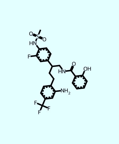 CS(=O)(=O)Nc1ccc(C(CCc2ccc(C(F)(F)F)cc2N)CNC(=O)c2ccccc2O)cc1F